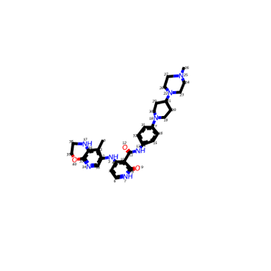 Cc1c(Nc2cc[nH]c(=O)c2C(=O)Nc2ccc(N3CCC(N4CCN(C)CC4)CC3)cc2)cnc2c1NCCO2